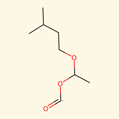 CC(C)CCOC(C)O[C]=O